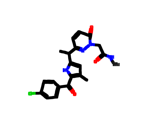 CCCCNC(=O)Cn1nc(C(C)c2cc(C)c(C(=O)c3ccc(Cl)cc3)[nH]2)ccc1=O